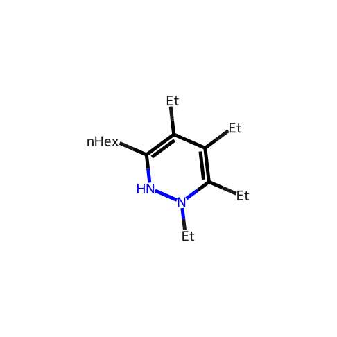 CCCCCCC1=C(CC)C(CC)=C(CC)N(CC)N1